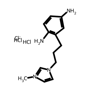 C[n+]1ccn(CCCc2cc(N)ccc2N)c1.Cl.Cl.[Cl-]